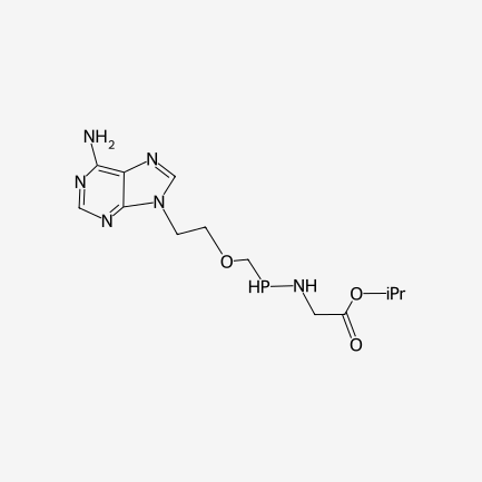 CC(C)OC(=O)CNPCOCCn1cnc2c(N)ncnc21